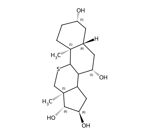 C[C@]12CSC3C(C1C[C@@H](O)[C@@H]2O)[C@@H](O)C[C@H]1C[C@@H](O)CC[C@]31C